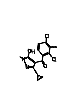 Cc1c(Cl)ccc(C(=O)c2c(C3CC3)nn(C)c2O)c1Cl